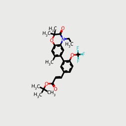 CCN1C(=O)C(C)(C)Oc2cc(C)c(-c3cc(C=CC(=O)OC(C)(C)C)ccc3OC(F)(F)F)cc21